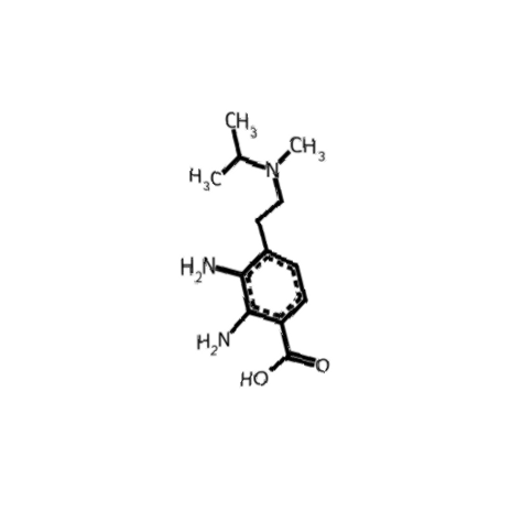 CC(C)N(C)CCc1ccc(C(=O)O)c(N)c1N